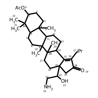 CC(=O)OC1CCC2(C)C(CCC3(C)C2CCC2C4=C(C(C)C)C(=O)CC4(C(O)CN)CCC23C)C1(C)C